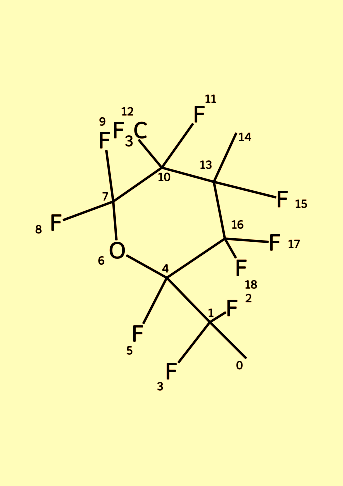 CC(F)(F)C1(F)OC(F)(F)C(F)(C(F)(F)F)C(C)(F)C1(F)F